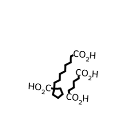 O=C(O)CCCCC(=O)O.O=C(O)CCCCCCCC1(C(=O)O)CCCC1